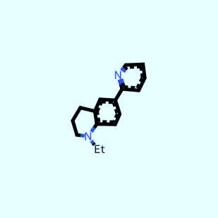 CCN1CCCc2cc(-c3ccccn3)ccc21